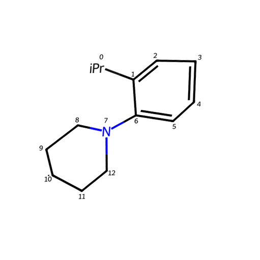 CC(C)c1ccccc1N1CC[CH]CC1